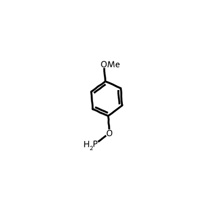 COc1ccc(OP)cc1